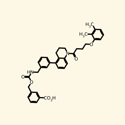 Cc1cccc(OCCCC(=O)N2CCCc3c(-c4cccc(CNC(=O)OCc5cccc(C(=O)O)c5)c4)cccc32)c1C